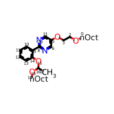 CCCCCCCCOCCOc1cnc(-c2ccccc2OC(C)OCCCCCCCC)nc1